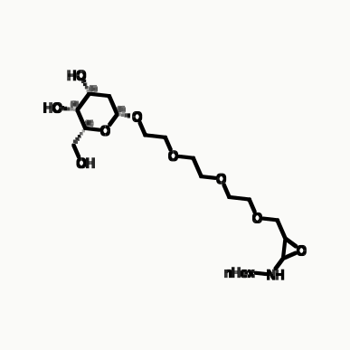 CCCCCCNC1OC1COCCOCCOCCO[C@H]1C[C@@H](O)[C@@H](O)[C@@H](CO)O1